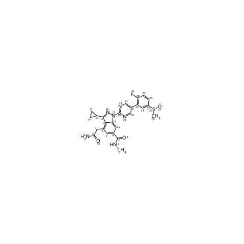 CNC(=O)c1cc(CC(N)=O)c2c(C3CC3)nn(-c3ncc(-c4cc([S+](C)[O-])ccc4F)cn3)c2c1